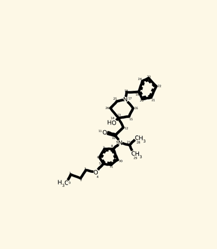 CCCCOc1ccc(N(C(=O)CC2(O)CCN(Cc3ccccc3)CC2)C(C)C)cc1